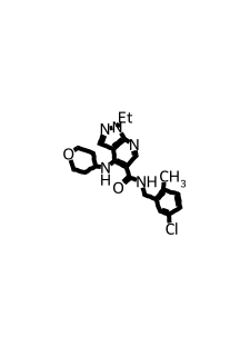 CCn1ncc2c(NC3CCOCC3)c(C(=O)NCc3cc(Cl)ccc3C)cnc21